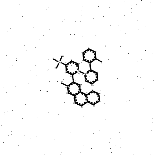 Cc1ccccc1-c1cccc[n+]1-[n+]1ccc([Si](C)(C)C)cc1-c1cc2c(ccc3ccccc32)cc1C